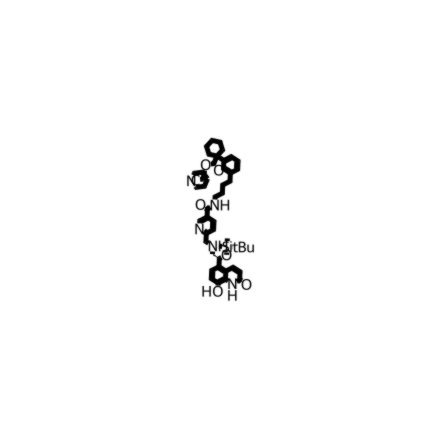 CC(C)(C)[Si](C)(C)O[C@@H](CNCc1ccc(C(=O)NCCCCc2cccc(C3(C(=O)OC4CN5CCC4CC5)CCCCC3)c2)cn1)c1ccc(O)c2[nH]c(=O)ccc12